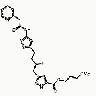 COCCCOC(=O)c1cn(CC(F)CCc2nnc(NC(=O)Cc3ccccn3)s2)nn1